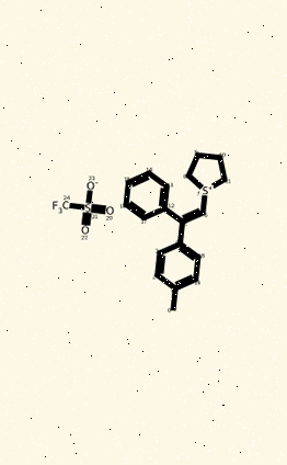 Cc1ccc(C(=C[S+]2CCCC2)c2ccccc2)cc1.O=S(=O)([O-])C(F)(F)F